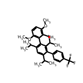 COc1ccc(OC)c(-c2c(C(C)C)cc(C(C)C)c(-c3ccc(C(F)(F)F)cc3)c2C(C)C)c1I